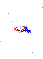 CC(C)(O)CCOc1ccc(-c2cn(-c3ccncc3)c3nc[nH]c(=O)c23)cc1